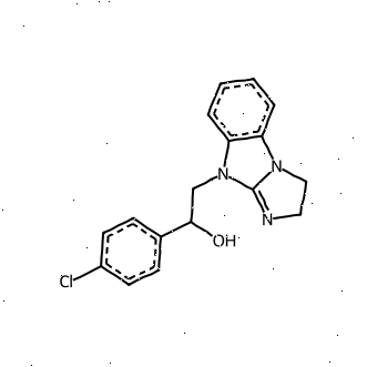 OC(CN1C2=NCCN2c2ccccc21)c1ccc(Cl)cc1